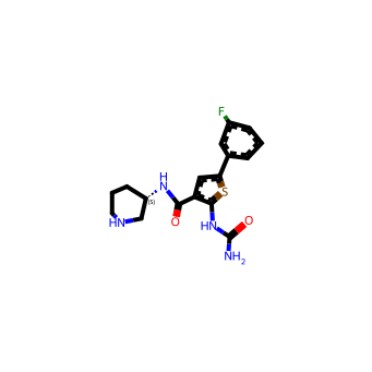 NC(=O)Nc1sc(-c2cccc(F)c2)cc1C(=O)N[C@H]1CCCNC1